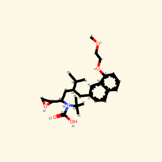 COCCOc1cccc2ccc(CC(CC(C3CO3)N(C(=O)O)C(C)(C)C)C(C)C)cc12